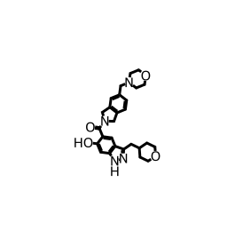 O=C(c1cc2c(CC3CCOCC3)n[nH]c2cc1O)N1Cc2ccc(CN3CCOCC3)cc2C1